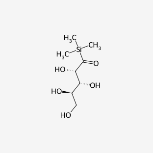 C[Si](C)(C)C(=O)[C@@H](O)[C@H](O)[C@H](O)CO